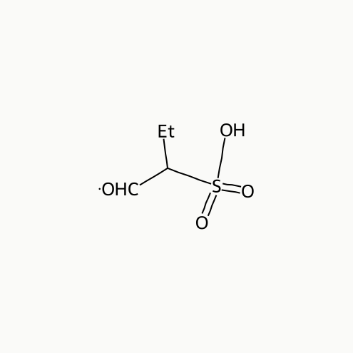 CCC([C]=O)S(=O)(=O)O